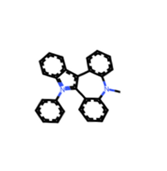 CN1c2ccccc2-c2c(n(-c3ccccc3)c3ccccc23)-c2ccccc21